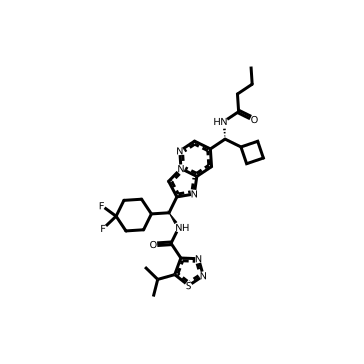 CCCC(=O)N[C@@H](c1cnn2cc([C@@H](NC(=O)c3nnsc3C(C)C)C3CCC(F)(F)CC3)nc2c1)C1CCC1